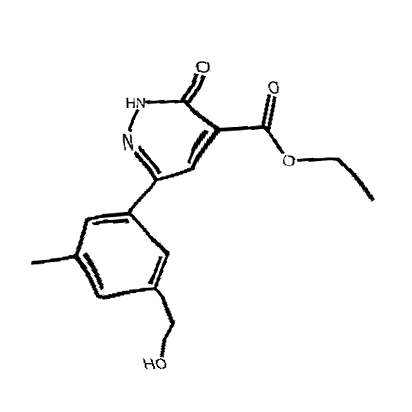 CCOC(=O)c1cc(-c2cc(C)cc(CO)c2)n[nH]c1=O